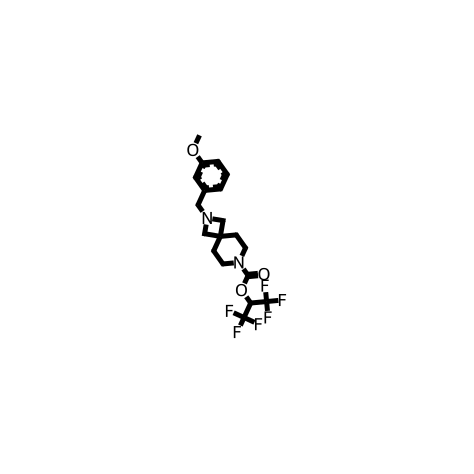 COc1cccc(CN2CC3(CCN(C(=O)OC(C(F)(F)F)C(F)(F)F)CC3)C2)c1